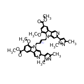 COC(=O)c1cc(OC)c2c(c1)c1cnc(-c3cc(C)nn3C)cc1n2C/C=C/Cn1c2cc(-c3cc(C)nn3C)ncc2c2cc(C(=O)OC)cc(OC)c21